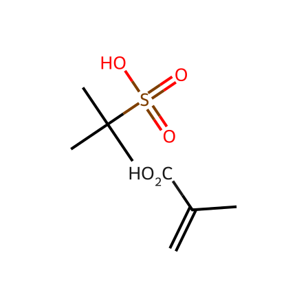 C=C(C)C(=O)O.CC(C)(C)S(=O)(=O)O